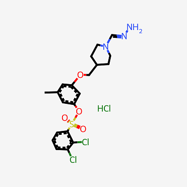 Cc1cc(OCC2CCN(C=NN)CC2)cc(OS(=O)(=O)c2cccc(Cl)c2Cl)c1.Cl